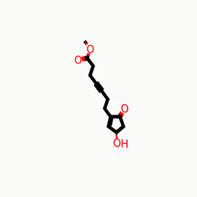 COC(=O)CCC#CCCC1=C[C@H](O)CC1=O